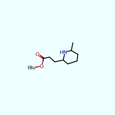 CC1CCCC(CCC(=O)OC(C)(C)C)N1